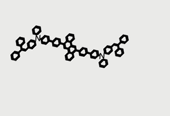 C(=C(c1ccccc1)c1ccccc1)c1ccc(N(c2ccccc2)c2ccc(-c3ccc(-c4cc5c6ccccc6c(-c6ccc(-c7ccc(N(c8ccccc8)c8ccc(C=C(c9ccccc9)c9ccccc9)cc8)cc7)cc6)cc5c5ccccc45)cc3)cc2)cc1